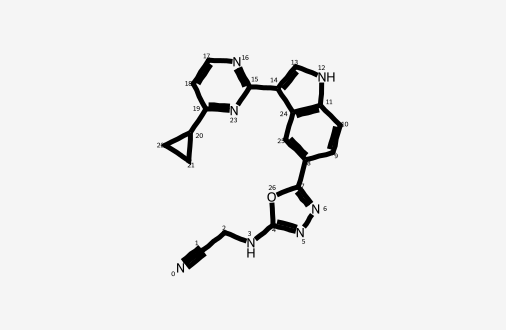 N#CCNc1nnc(-c2ccc3[nH]cc(-c4nccc(C5CC5)n4)c3c2)o1